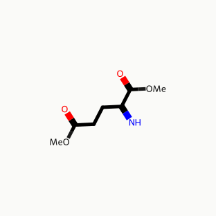 COC(=O)CCC(=N)C(=O)OC